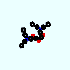 C1=CCCC(c2ccc(N(c3ccc(-c4ccccc4)cc3)c3ccc4c(c3)oc3cc5c(cc34)oc3ccc4oc6cc(N(c7ccc(C8=CCCC=C8)cc7)c7ccc(-c8ccccc8)cc7)ccc6c4c35)cc2)=C1